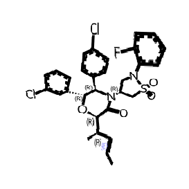 C/C=C/[C@@H](C)[C@H]1O[C@H](c2cccc(Cl)c2)[C@@H](c2ccc(Cl)cc2)N([C@@H]2CN(c3ccccc3F)S(=O)(=O)C2)C1=O